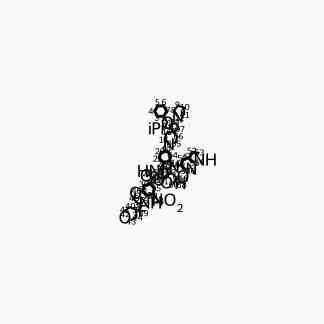 CC(C)Oc1ccccc1[C@@H]1CCCN1C1CC2(CCN(c3ccc(C(=O)NS(=O)(=O)c4cc5c(c([N+](=O)[O-])c4)N[C@H](C4(F)CCOCC4)CO5)c(N4c5cc6cc[nH]c6nc5O[C@@H]5COC[C@H]54)c3)CC2)C1